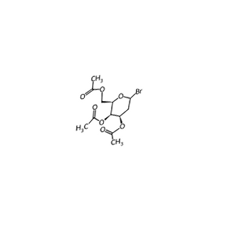 CC(=O)OC[C@H]1OC(Br)C[C@@H](OC(C)=O)[C@H]1OC(C)=O